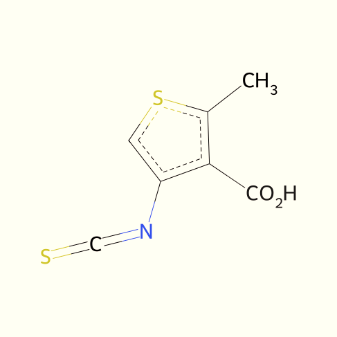 Cc1scc(N=C=S)c1C(=O)O